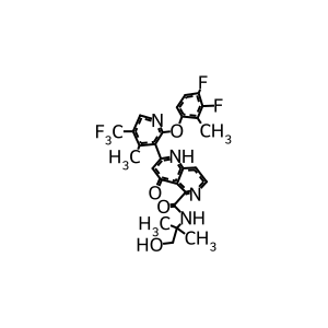 Cc1c(Oc2ncc(C(F)(F)F)c(C)c2-c2cc(=O)c3c(C(=O)NC(C)(C)CO)nccc3[nH]2)ccc(F)c1F